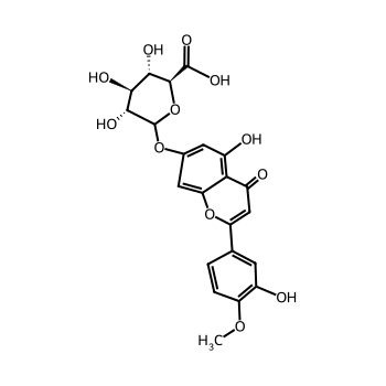 COc1ccc(-c2cc(=O)c3c(O)cc(OC4O[C@H](C(=O)O)[C@@H](O)[C@H](O)[C@H]4O)cc3o2)cc1O